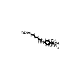 CCCCCCCCCCCCCCCCNc1ccc(C(C)(C)O)cc1